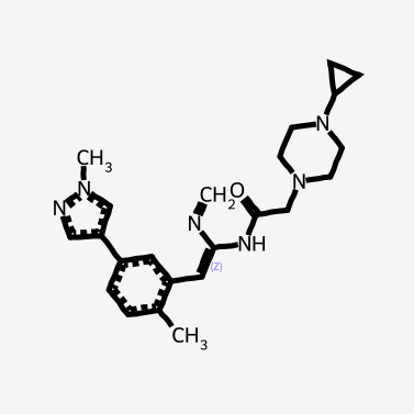 C=N/C(=C\c1cc(-c2cnn(C)c2)ccc1C)NC(=O)CN1CCN(C2CC2)CC1